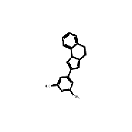 Cc1cc(C)cc(C2=CC3C(=C2)[C]Cc2ccccc23)c1